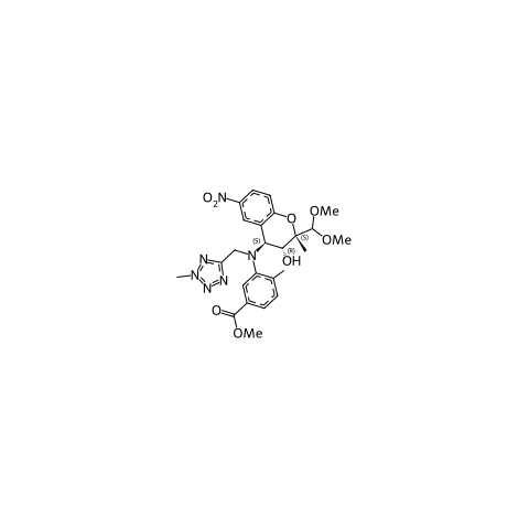 COC(=O)c1ccc(C)c(N(Cc2nnn(C)n2)[C@H]2c3cc([N+](=O)[O-])ccc3O[C@](C)(C(OC)OC)[C@@H]2O)c1